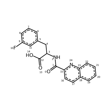 O=C(NC(Cc1cccc(F)c1)C(=O)O)c1ccc2ccccc2n1